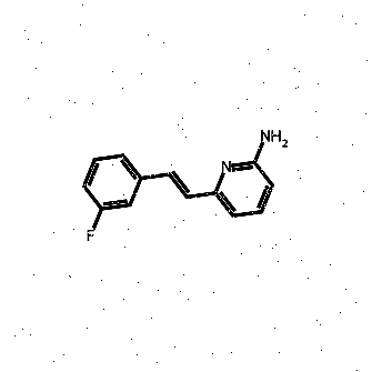 Nc1cccc(/C=C/c2cccc(F)c2)n1